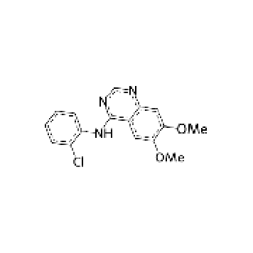 COc1cc2ncnc(Nc3ccccc3Cl)c2cc1OC